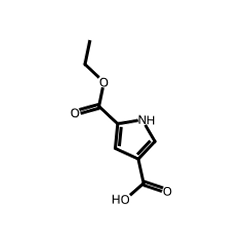 CCOC(=O)c1cc(C(=O)O)c[nH]1